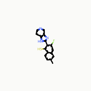 Cc1ccc2c(S)c(-c3nc4cnccc4[nH]3)c(F)cc2c1